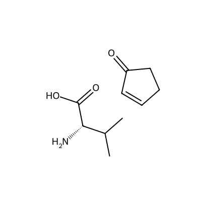 CC(C)[C@H](N)C(=O)O.O=C1C=CCC1